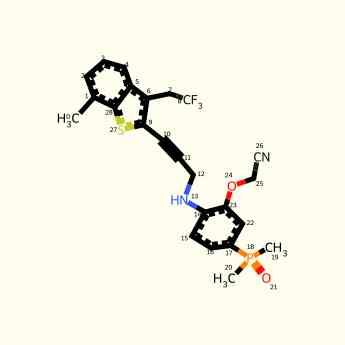 Cc1cccc2c(CC(F)(F)F)c(C#CCNc3ccc(P(C)(C)=O)cc3OCC#N)sc12